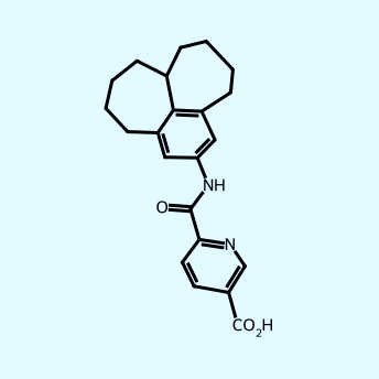 O=C(O)c1ccc(C(=O)Nc2cc3c4c(c2)CCCCC4CCCC3)nc1